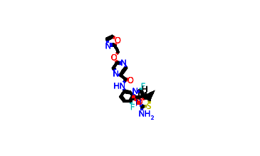 NC1=N[C@](CF)(c2cc(NC(=O)c3cnc(OCc4ncco4)cn3)ccc2F)[C@@H]2CC2(c2cnco2)S1